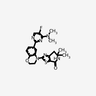 CN(C)c1nc(-c2ccc3c(c2)N(c2nc4c(s2)C(=O)NC(C)(C)C4)CCO3)ncc1F